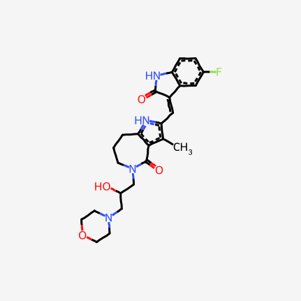 Cc1c(C=C2C(=O)Nc3ccc(F)cc32)[nH]c2c1C(=O)N(CC(O)CN1CCOCC1)CCC2